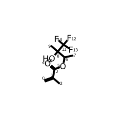 C=C(C)C(=O)OC(C)C(C)(O)C(F)(F)F